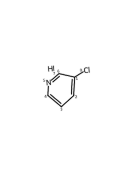 Clc1cccnc1.I